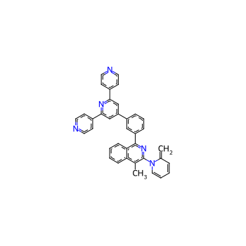 C=C1C=CC=CN1c1nc(-c2cccc(-c3cc(-c4ccncc4)nc(-c4ccncc4)c3)c2)c2ccccc2c1C